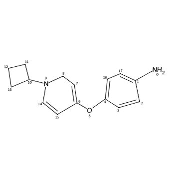 Nc1ccc(OC2=CCN(C3CCC3)C=C2)cc1